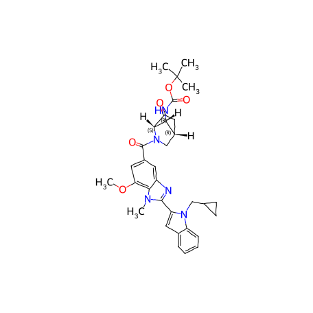 COc1cc(C(=O)N2C[C@H]3CC(=O)[C@@H]2[C@@H]3NC(=O)OC(C)(C)C)cc2nc(-c3cc4ccccc4n3CC3CC3)n(C)c12